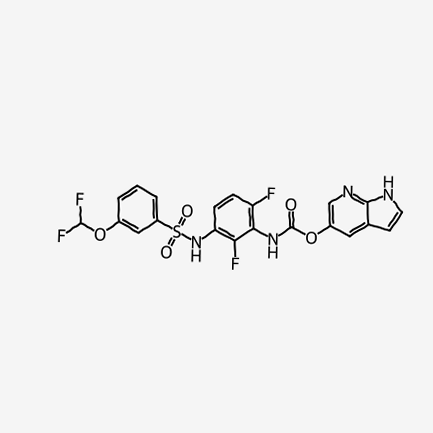 O=C(Nc1c(F)ccc(NS(=O)(=O)c2cccc(OC(F)F)c2)c1F)Oc1cnc2[nH]ccc2c1